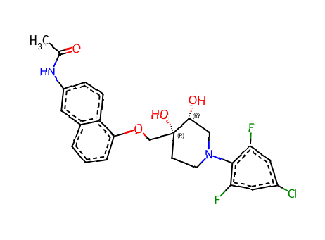 CC(=O)Nc1ccc2c(OC[C@]3(O)CCN(c4c(F)cc(Cl)cc4F)C[C@H]3O)cccc2c1